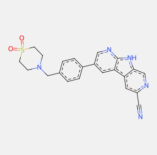 N#Cc1cc2c(cn1)[nH]c1ncc(-c3ccc(CN4CCS(=O)(=O)CC4)cc3)cc12